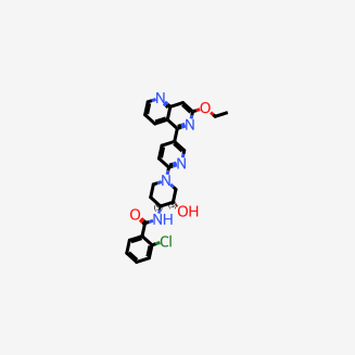 CCOc1cc2ncccc2c(-c2ccc(N3CC[C@H](NC(=O)c4ccccc4Cl)[C@@H](O)C3)nc2)n1